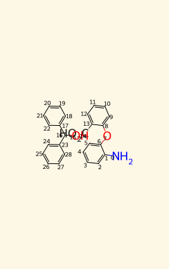 Nc1ccccc1Oc1ccccc1C(=O)O.OC(c1ccccc1)c1ccccc1